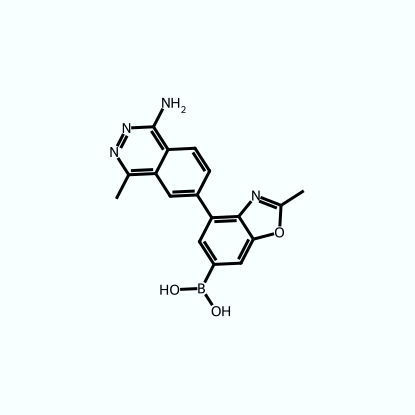 Cc1nc2c(-c3ccc4c(N)nnc(C)c4c3)cc(B(O)O)cc2o1